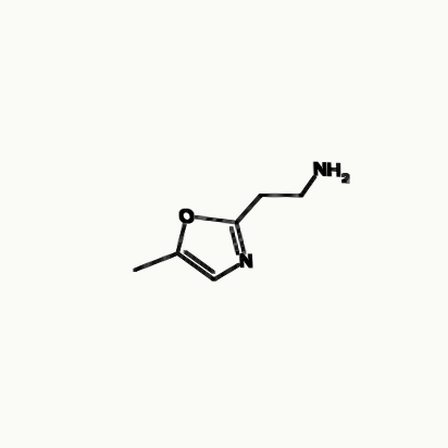 Cc1cnc(CCN)o1